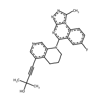 Cc1nnc2nc(N3CCCc4c(C#CC(C)(C)O)cncc43)c3cc(F)ccc3n12